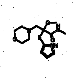 CNC(=O)C(CN1CCOCC1)(OC)Sc1ccc[nH]1